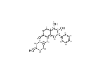 O=c1ccc2c(O)c(O)c(-c3ccccc3)oc-2c1CN1CCC(O)CC1